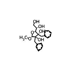 CO[C@H]1O[C@H]([C@@H](O)CO)[C@@](O)(Cc2ccccc2)[C@]1(O)Cc1ccccc1